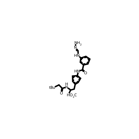 CC(C)(C)CC(=O)NC(Cc1ccc(NC(=O)c2cccc(NC=NN)c2)cc1)C(=O)O